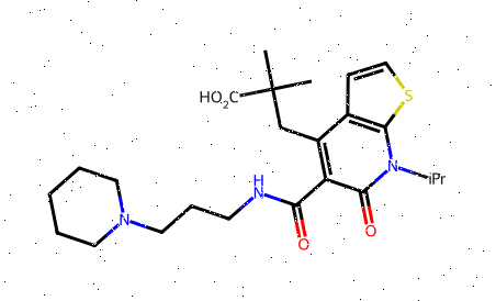 CC(C)n1c(=O)c(C(=O)NCCCN2CCCCC2)c(CC(C)(C)C(=O)O)c2ccsc21